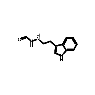 O=CNNCCc1c[nH]c2ccccc12